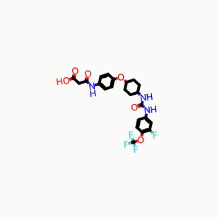 O=C(O)CC(=O)Nc1ccc(OC2CCC(NC(=O)Nc3ccc(OC(F)(F)F)c(F)c3)CC2)cc1